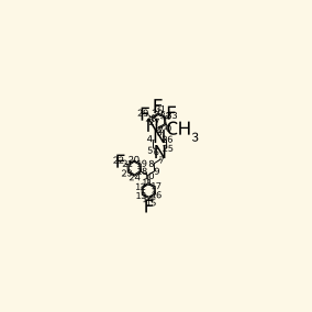 Cc1c(N2CCN(CCCC(c3ccc(F)cc3)c3ccc(F)cc3)CC2)nc(F)c(F)c1F